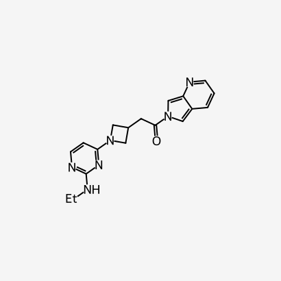 CCNc1nccc(N2CC(CC(=O)n3cc4cccnc4c3)C2)n1